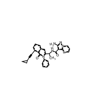 CC(NC(=O)c1c(N)nn2cccnc12)c1cc2cccc(C#CC3CC3)c2c(=O)n1-c1ccccc1